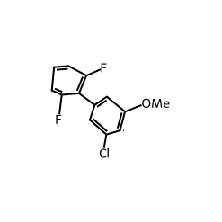 COc1[c]c(Cl)cc(-c2c(F)cccc2F)c1